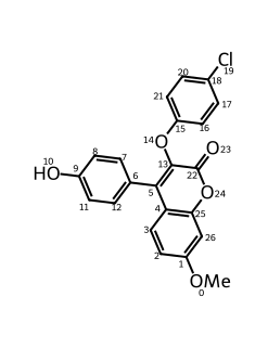 COc1ccc2c(-c3ccc(O)cc3)c(Oc3ccc(Cl)cc3)c(=O)oc2c1